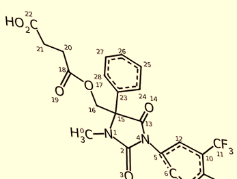 CN1C(=O)N(c2ccc(N)c(C(F)(F)F)c2)C(=O)C1(COC(=O)CCC(=O)O)c1ccccc1